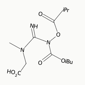 CC(C)COC(=O)N(OC(=O)C(C)C)C(=N)N(C)CC(=O)O